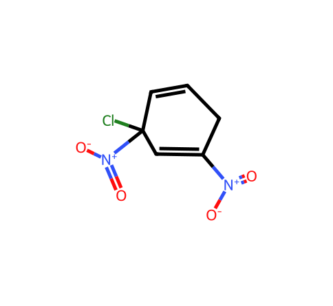 O=[N+]([O-])C1=CC(Cl)([N+](=O)[O-])C=CC1